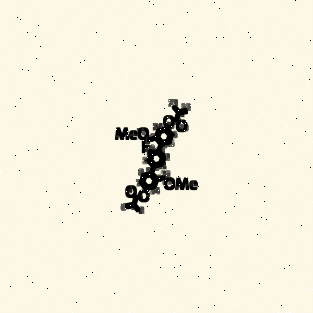 C=C(C)C(=O)Oc1ccc(-c2ccc(-c3ccc(OC(=O)C(=C)C)cc3COC)c(F)c2)c(COC)c1